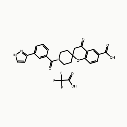 O=C(O)C(F)(F)F.O=C(O)c1ccc2c(c1)C(=O)CC1(CCN(C(=O)c3cccc(-c4cc[nH]n4)c3)CC1)O2